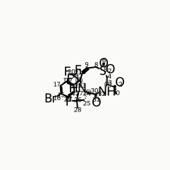 CC(=O)[C@@H]1CS(=O)(=O)CC#C[C@](c2ccc(Br)cc2)(C(F)(F)F)N[C@@H](CC(C)(C)F)C(=O)N1